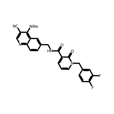 CNc1c(C#N)cnc2ccc(CNC(=O)c3cccn(Cc4ccc(F)c(F)c4)c3=O)cc12